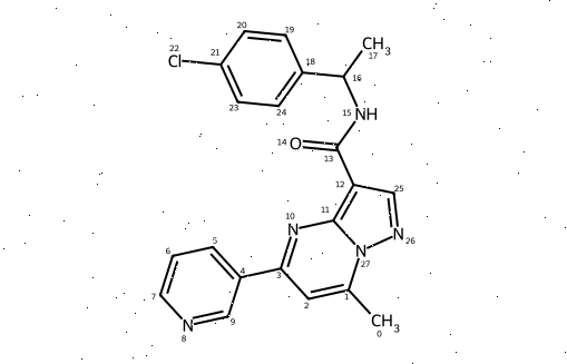 Cc1cc(-c2cccnc2)nc2c(C(=O)NC(C)c3ccc(Cl)cc3)cnn12